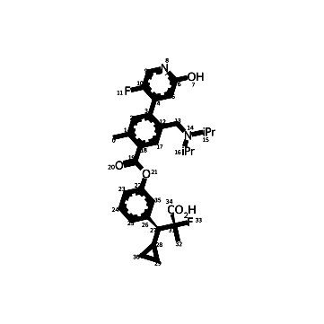 Cc1cc(-c2cc(O)ncc2F)c(CN(C(C)C)C(C)C)cc1C(=O)Oc1cccc([C@H](C2CC2)[C@@](C)(F)C(=O)O)c1